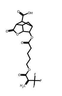 C=C(C(=O)OCCCCC(=O)OC1C2CC3C1OC(=O)C3C2C(=O)O)C(F)(F)F